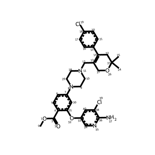 COC(=O)c1ccc(N2CCN(CC3=C(c4ccc(Cl)cc4)CC(C)(C)OC3)CC2)cc1Oc1cnc(N)c(Cl)c1